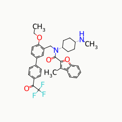 CCOc1ccc(-c2ccc(C(=O)C(F)(F)F)cc2)cc1CN(C(=O)c1oc2ccccc2c1C)[C@H]1CC[C@@H](NC)CC1